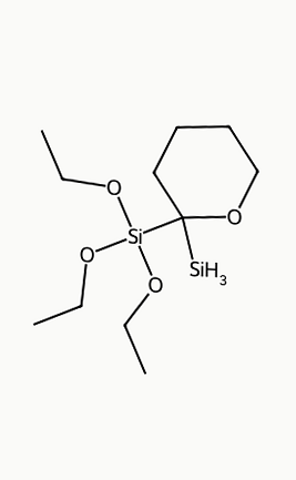 CCO[Si](OCC)(OCC)C1([SiH3])CCCCO1